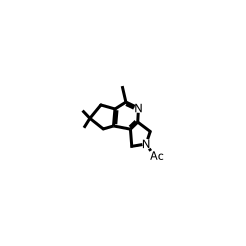 CC(=O)N1Cc2nc(C)c3c(c2C1)CC(C)(C)C3